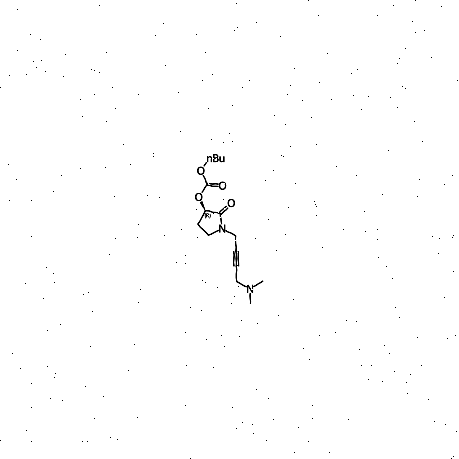 CCCCOC(=O)O[C@@H]1CCN(CC#CCN(C)C)C1=O